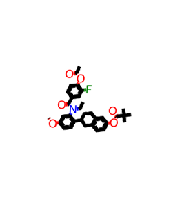 CCN(C(=O)c1ccc(OC(C)=O)c(F)c1)c1cc(OC)ccc1C1CCc2cc(OC(=O)C(C)(C)C)ccc2C1